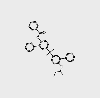 CCC(C)Oc1ccc(C(C)(C)c2ccc(OC(=O)c3ccccc3)c(-c3ccccc3)c2)cc1-c1ccccc1